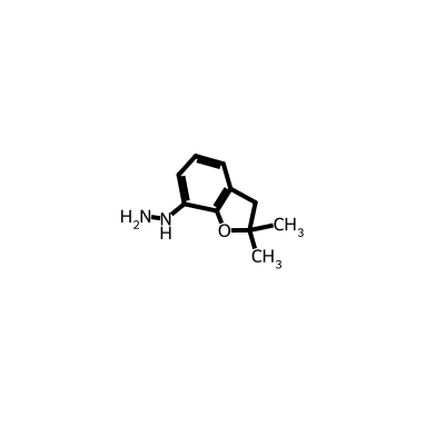 CC1(C)Cc2cccc(NN)c2O1